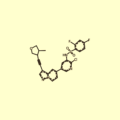 CC1COCC1C#Cc1cnn2ccc(-c3cnc(Cl)c(NS(=O)(=O)c4ccc(F)cc4F)c3)cc12